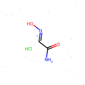 Cl.NC(=O)/C=N/O